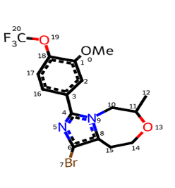 COc1cc(-c2nc(Br)c3n2CC(C)OCC3)ccc1OC(F)(F)F